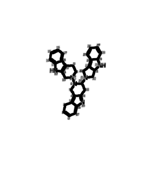 C1=CCC2=C3CN([N+]4CCc5c([nH]c6ccccc56)C4)C(N4CC5=C6C=CC=CC6NC5C4)CC3=NC2=C1